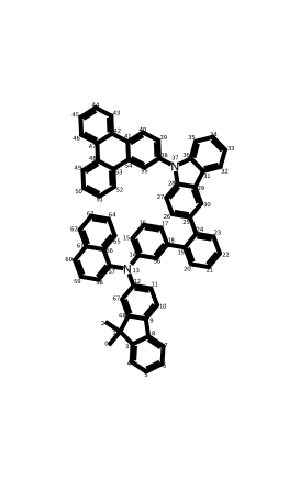 CC1(C)c2ccccc2-c2ccc(N(c3cccc(-c4ccccc4-c4ccc5c(c4)c4ccccc4n5-c4ccc5c6ccccc6c6ccccc6c5c4)c3)c3cccc4ccccc34)cc21